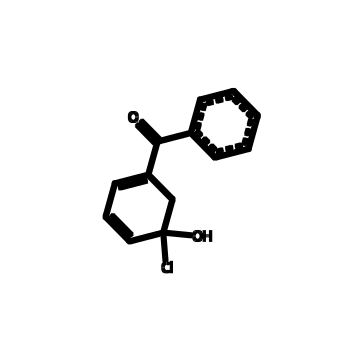 O=C(C1=CC=CC(O)(Cl)C1)c1ccccc1